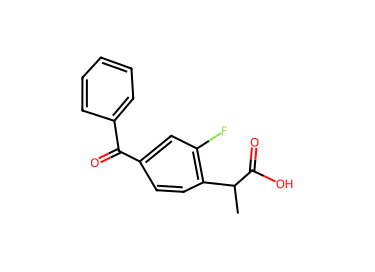 CC(C(=O)O)c1ccc(C(=O)c2ccccc2)cc1F